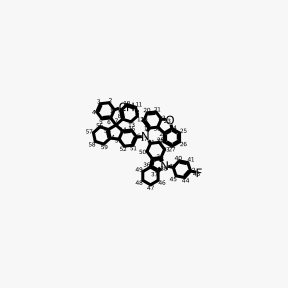 CC1CC=CC=C1C1(C2=CC=CCC2)C2=CC(N(C3=CC=CC4Oc5ccccc5C34)C3CCc4c(c5c(n4C4C=CC(F)=CC4)CCCC5)C3)=CCC2C2=C1CCCC2